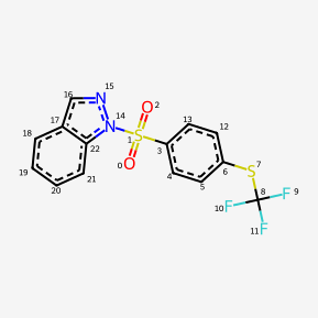 O=S(=O)(c1ccc(SC(F)(F)F)cc1)n1ncc2ccccc21